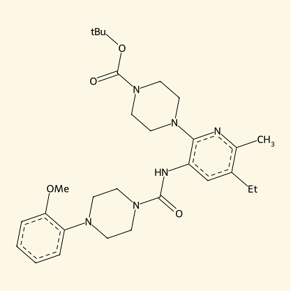 CCc1cc(NC(=O)N2CCN(c3ccccc3OC)CC2)c(N2CCN(C(=O)OC(C)(C)C)CC2)nc1C